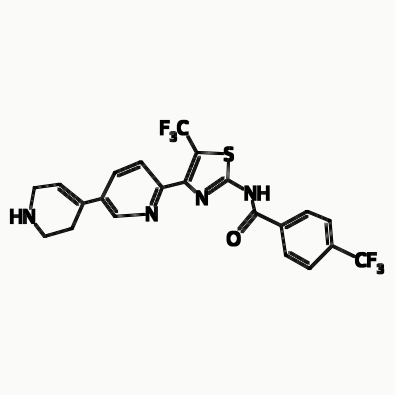 O=C(Nc1nc(-c2ccc(C3=CCNCC3)cn2)c(C(F)(F)F)s1)c1ccc(C(F)(F)F)cc1